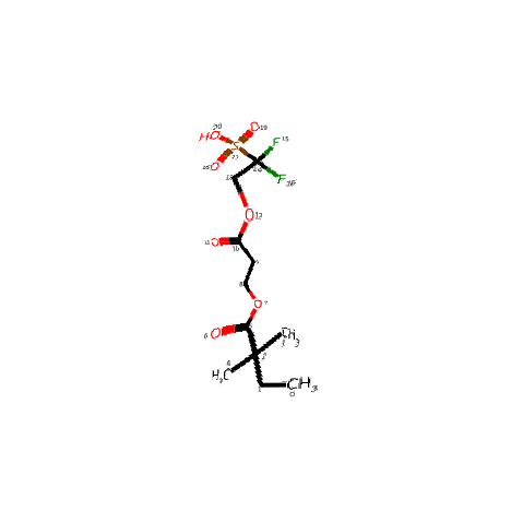 CCC(C)(C)C(=O)OCCC(=O)OCC(F)(F)S(=O)(=O)O